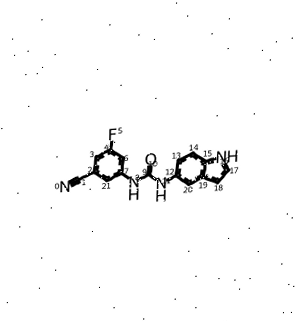 N#Cc1cc(F)cc(NC(=O)Nc2ccc3[nH]ccc3c2)c1